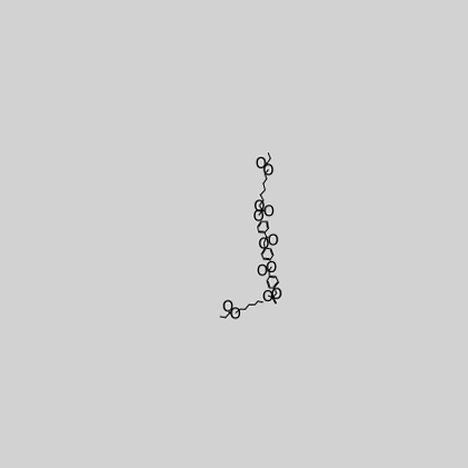 C=C(OCCCCCCOC(=O)CC)Oc1ccc(C(=O)Oc2ccc(OC(=O)c3ccc(OC(=O)OCCCCCCOC(=O)CC)cc3)cc2)cc1